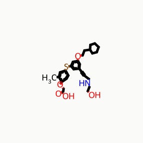 Cc1cc(Sc2cc(C#CCNCCO)cc(OCCC3CCCCC3)c2)ccc1OCC(=O)O